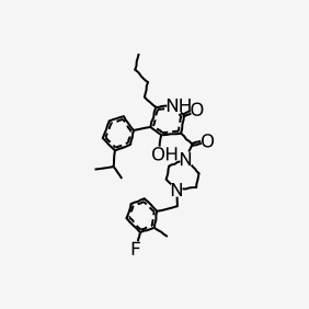 CCCCc1[nH]c(=O)c(C(=O)N2CCN(Cc3cccc(F)c3C)CC2)c(O)c1-c1cccc(C(C)C)c1